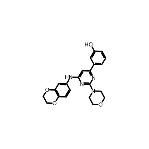 Oc1cccc(-c2cc(Nc3ccc4c(c3)OCCO4)nc(N3CCOCC3)n2)c1